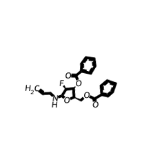 C=CCNC1O[C@H](COC(=O)c2ccccc2)[C@@H](OC(=O)c2ccccc2)[C@@H]1F